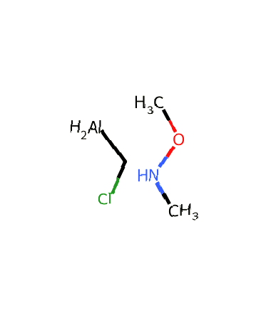 CNOC.[AlH2][CH2]Cl